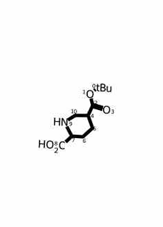 CC(C)(C)OC(=O)C1CCC(C(=O)O)NC1